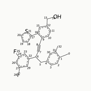 Cc1ccc(CC(C#Cc2ccc(CO)cc2-c2cccs2)c2cc(F)cc(F)c2)cc1C